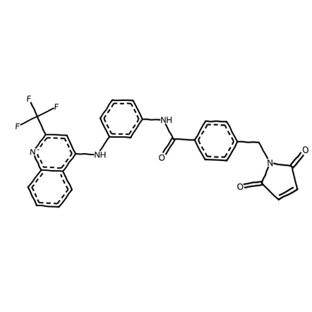 O=C(Nc1cccc(Nc2cc(C(F)(F)F)nc3ccccc23)c1)c1ccc(CN2C(=O)C=CC2=O)cc1